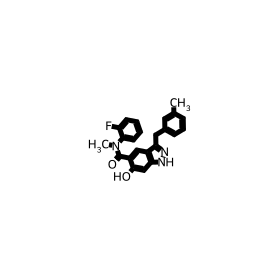 Cc1cccc(Cc2n[nH]c3cc(O)c(C(=O)N(C)c4ccccc4F)cc23)c1